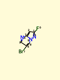 Fc1cc2ncc(Br)cn2n1